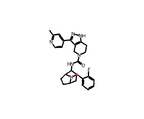 Cc1cc(-c2n[nH]c3c2CN(C(=O)NC2CCC4CCC2N4Cc2ccccc2F)CC3)ccn1